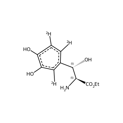 [2H]c1c([2H])c([C@H](O)[C@H](N)C(=O)OCC)c([2H])c(O)c1O